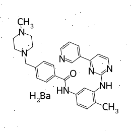 Cc1ccc(NC(=O)c2ccc(CN3CCN(C)CC3)cc2)cc1Nc1nccc(-c2cccnc2)n1.[BaH2]